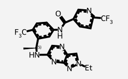 CCn1cc2ncc(N[C@@H](C)c3cc(NC(=O)c4ccc(C(F)(F)F)nc4)ccc3C(F)(F)F)nc2n1